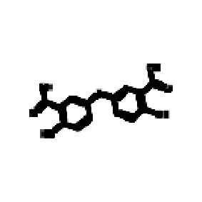 O=C(O)c1cc(Sc2ccc(O)c(C(=O)O)c2)ccc1O